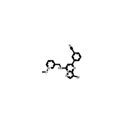 CO[n+]1cccc(CNc2cc(-c3cccc(C#N)c3)nc3c(Br)cnn23)c1